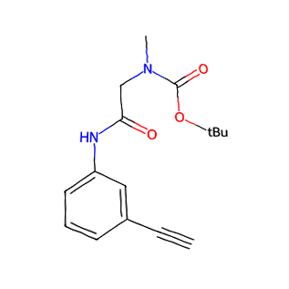 C#Cc1cccc(NC(=O)CN(C)C(=O)OC(C)(C)C)c1